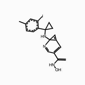 C=C(NO)C1=CC2=CC2(NC2(c3ccc(C)cc3I)CC2)N=C1